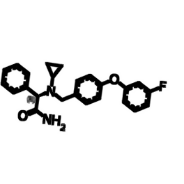 NC(=O)[C@@H](c1ccccc1)N(Cc1ccc(Oc2cccc(F)c2)cc1)C1CC1